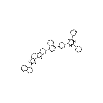 c1ccc(-c2nc(-c3ccccc3)nc(-c3ccc(-c4ccc(-c5ccc6c(c5)oc5c6ccc6oc(-c7cccc8ccccc78)nc65)c5ccccc45)cc3)n2)cc1